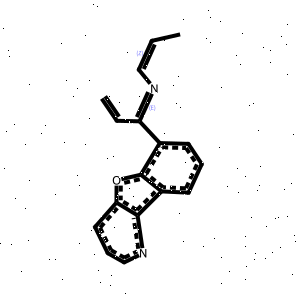 C=C/C(=N\C=C/C)c1cccc2c1oc1cccnc12